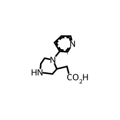 O=C(O)CC1CNCCN1c1[c]nccc1